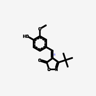 COc1cc(/C=C2\C(=O)ON=C2C(C)(C)C)ccc1O